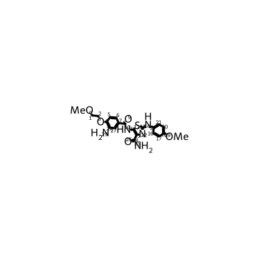 COCCOc1ccc(C(=O)Nc2sc(Nc3ccc(OC)cc3)nc2C(N)=O)cc1N